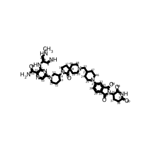 CN/C=C(\C=N)Nc1nc(N2CCCC(N3CCC4(CCN(CC5CCN(c6ccc7c(c6)C(=O)N(C6CCC(=O)NC6=O)C7=O)CC5)CC4)C3=O)C2)cnc1C(N)=O